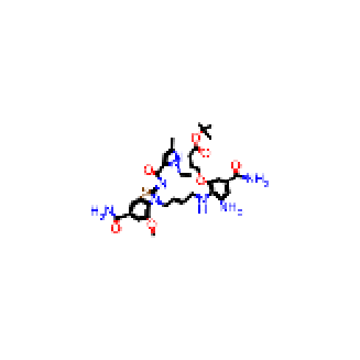 CCn1nc(C)cc1C(=O)/N=c1\sc2cc(C(N)=O)cc(OC)c2n1C/C=C/CNc1c(N)cc(C(N)=O)cc1OCCCC(=O)OC(C)(C)C